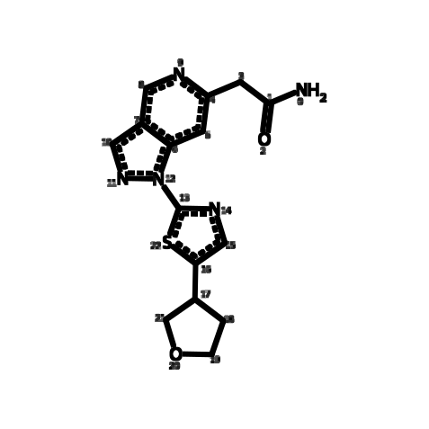 NC(=O)Cc1cc2c(cn1)cnn2-c1ncc(C2CCOC2)s1